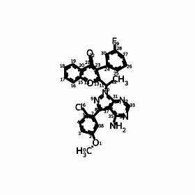 COc1ccc(Cl)c(-c2nn(C(C)c3oc4ccccc4c(=O)c3-c3cccc(F)c3)c3ncnc(N)c23)c1